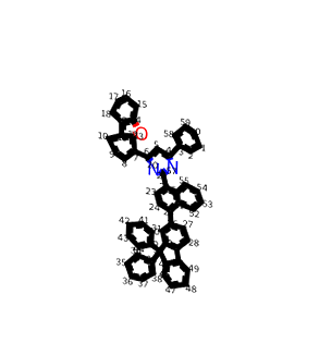 c1ccc(-c2cc(-c3cccc4c3oc3ccccc34)nc(-c3ccc(-c4ccc5c(c4)C(c4ccccc4)(c4ccccc4)c4ccccc4-5)c4ccccc34)n2)cc1